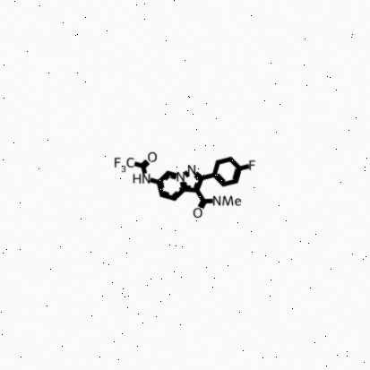 CNC(=O)c1c(C2=CC=C(F)CC2)nn2cc(NC(=O)C(F)(F)F)ccc12